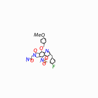 COc1ccc(COc2c3c(c(N(C)S(C)(=O)=O)c4cc(Cc5ccc(F)cc5)cnc24)CN(CC(=O)N(C)C)C3=O)cc1